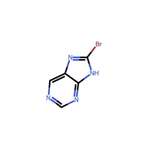 Brc1nc2cncnc2[nH]1